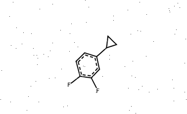 Fc1ccc(C2CC2)cc1F